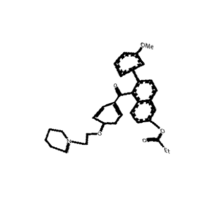 CCC(=O)Oc1ccc2c(C(=O)C3=CCC(OCCN4CCCCC4)C=C3)c(-c3cccc(OC)c3)ccc2c1